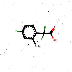 Cc1cc(F)ccc1C(F)(F)C(=O)O